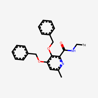 [3H]CNC(=O)c1nc(C)cc(OCc2ccccc2)c1OCc1ccccc1